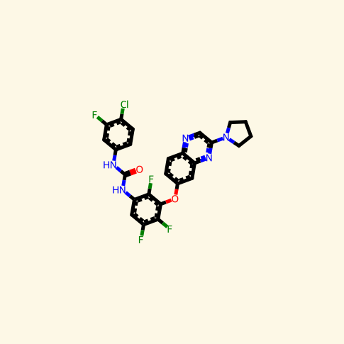 O=C(Nc1ccc(Cl)c(F)c1)Nc1cc(F)c(F)c(Oc2ccc3ncc(N4CCCC4)nc3c2)c1F